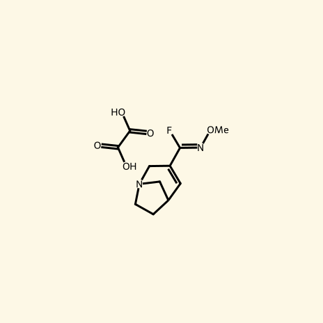 CON=C(F)C1=CC2CCN(C1)C2.O=C(O)C(=O)O